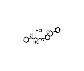 Cl.OC(CCNC1CCCCC1)COc1ccc2c(c1)OCC(c1ccccc1)C2